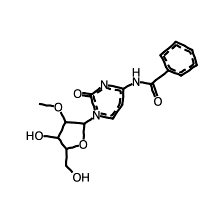 COC1C(O)C(CO)OC1n1ccc(NC(=O)c2ccccc2)nc1=O